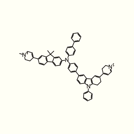 C[N+]1=CC=C(C2=Cc3c(n(-c4ccccc4)c4ccc(-c5ccc(N(c6ccc(-c7ccccc7)cc6)c6ccc7c(c6)C(C)(C)c6cc(C8=CC=[N+](C)CC8)ccc6-7)cc5)cc34)CC2)CC1